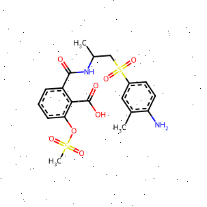 Cc1cc(S(=O)(=O)CC(C)NC(=O)c2cccc(OS(C)(=O)=O)c2C(=O)O)ccc1N